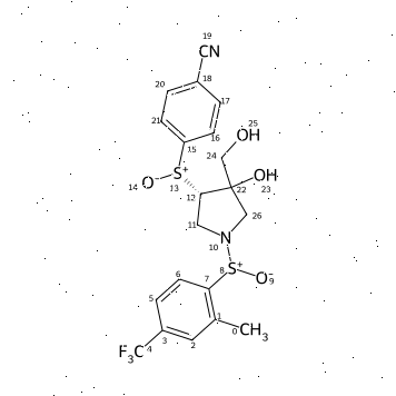 Cc1cc(C(F)(F)F)ccc1[S+]([O-])N1C[C@H]([S+]([O-])c2ccc(C#N)cc2)C(O)(CO)C1